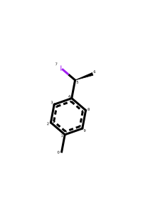 Cc1ccc([C@H](C)I)cc1